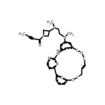 CC#CC(=O)N1CC(N(C)CCN(C)c2cc3cc(c2)Nc2nccc(n2)-c2cccc(c2)OCC/C=C/COC3)C1